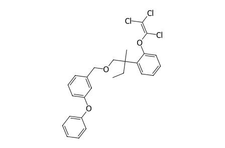 CCC(C)(COCc1cccc(Oc2ccccc2)c1)c1ccccc1OC(Cl)=C(Cl)Cl